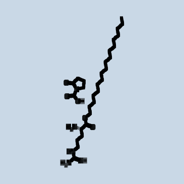 CCCCCCCCCCCCCCCCCCOC(=O)[C@@H](N)CCCNC(=N)N.O=C(O)N1CCCC1=O